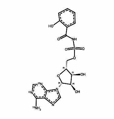 [15NH2]c1[15n]c[15n]c2c1ncn2[C@@H]1O[C@H](COS(=O)(=O)NC(=O)c2ccccc2O)[C@@H](O)[C@H]1O